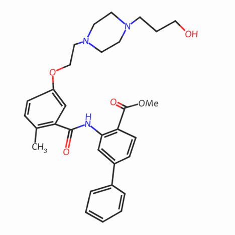 COC(=O)c1ccc(-c2ccccc2)cc1NC(=O)c1cc(OCCN2CCN(CCCO)CC2)ccc1C